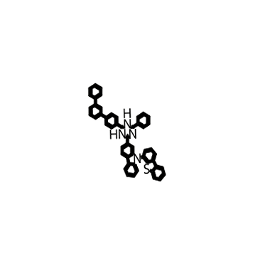 c1ccc(-c2cccc(-c3ccc(C4NC(c5ccc6c7ccccc7n(-c7cccc8c7sc7ccccc78)c6c5)=NC(c5ccccc5)N4)cc3)c2)cc1